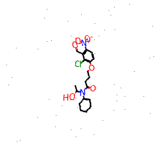 CC(O)N(C(=O)CCCOc1ccc([N+](=O)[O-])c(C=O)c1Cl)C1CCCCC1